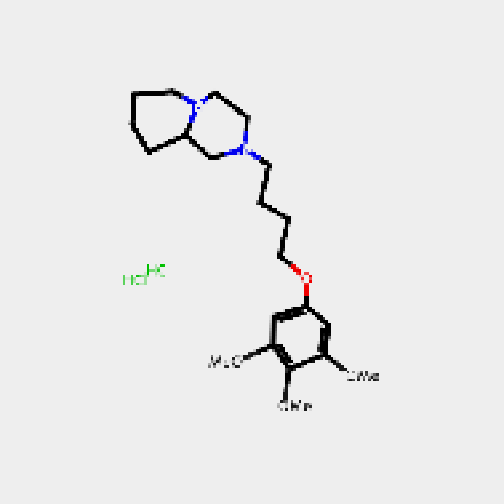 COc1cc(OCCCCN2CCN3CCCCC3C2)cc(OC)c1OC.Cl.Cl